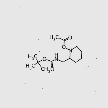 CC(=O)ON1CCCCC1CNC(=O)OC(C)(C)C